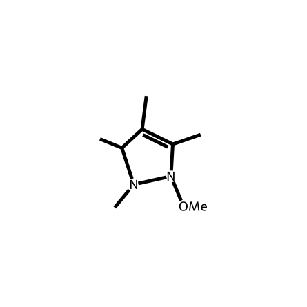 CON1C(C)=C(C)C(C)N1C